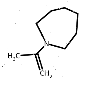 C=C(C)N1CCCCCC1